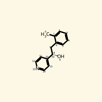 Cc1ccccc1C[C@H](O)c1ccncc1